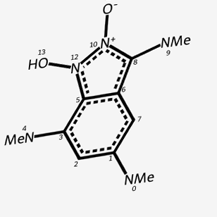 CNc1cc(NC)c2c(c1)c(NC)[n+]([O-])n2O